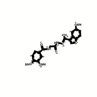 COc1ccc2scc(/C(C)=N/NC(=O)CNC(=O)c3ccc(OC)c(OC)c3)c2c1